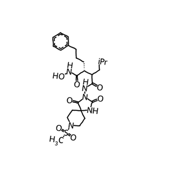 CC(C)CC(C(=O)NN1C(=O)NC2(CCN(S(C)(=O)=O)CC2)C1=O)[C@@H](CCCc1ccccc1)C(=O)NO